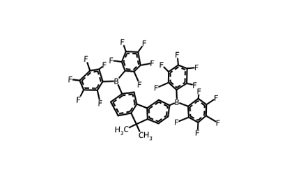 CC1(C)c2ccc(B(c3c(F)c(F)c(F)c(F)c3F)c3c(F)c(F)c(F)c(F)c3F)cc2-c2cc(B(c3c(F)c(F)c(F)c(F)c3F)c3c(F)c(F)c(F)c(F)c3F)ccc21